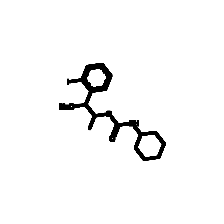 CO[C@@H](c1ccccc1I)C(C)OC(=O)NC1CCCCC1